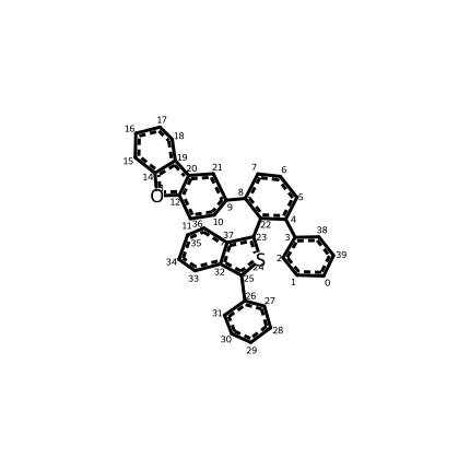 c1ccc(-c2cccc(-c3ccc4oc5ccccc5c4c3)c2-c2sc(-c3ccccc3)c3ccccc23)cc1